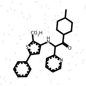 CC1CCC(C(=O)C(Nc2cc(-c3ccccc3)sc2C(=O)O)c2ccccn2)CC1